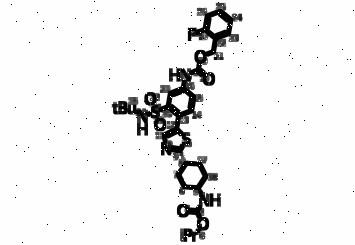 CC(C)OC(=O)N[C@H]1CC[C@H](c2ncc(-c3ccc(NC(=O)OCc4ccccc4F)cc3S(=O)(=O)NC(C)(C)C)s2)CC1